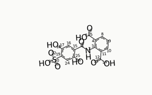 O=C(Nc1c(C(=O)O)cccc1C(=O)O)c1cc(O)c(S(=O)(=O)O)cc1O